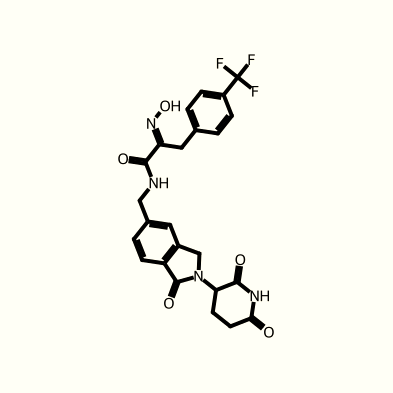 O=C1CCC(N2Cc3cc(CNC(=O)/C(Cc4ccc(C(F)(F)F)cc4)=N/O)ccc3C2=O)C(=O)N1